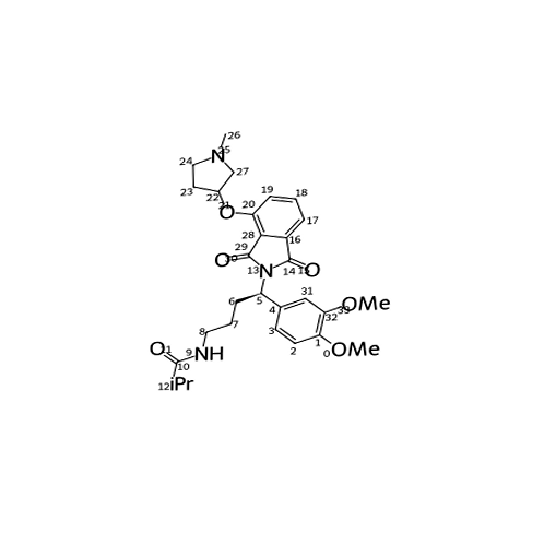 COc1ccc([C@@H](CCCNC(=O)C(C)C)N2C(=O)c3cccc(OC4CCN(C)C4)c3C2=O)cc1OC